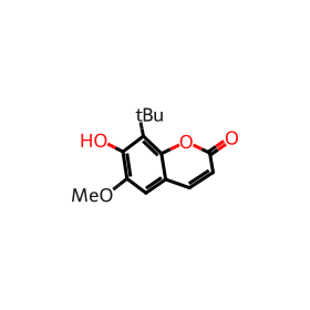 COc1cc2ccc(=O)oc2c(C(C)(C)C)c1O